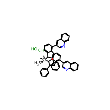 Cl.Cl.[CH3][Zr]([CH3])(=[SiH2])([CH]1C(c2ccccc2)=Cc2c(-c3cnc4ccccc4c3)cccc21)[CH]1C(c2ccccc2)=Cc2c(-c3cnc4ccccc4c3)cccc21